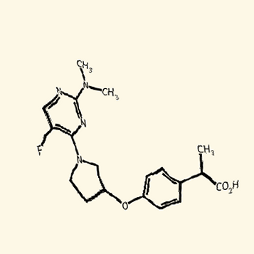 CC(C(=O)O)c1ccc(OC2CCN(c3nc(N(C)C)ncc3F)C2)cc1